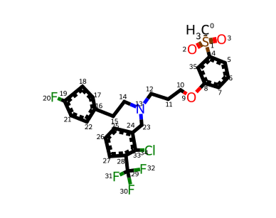 CS(=O)(=O)c1cccc(OCCCN(CCc2ccc(F)cc2)Cc2cccc(C(F)(F)F)c2Cl)c1